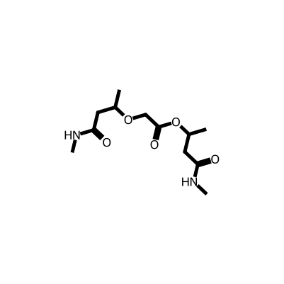 CNC(=O)CC(C)OCC(=O)OC(C)CC(=O)NC